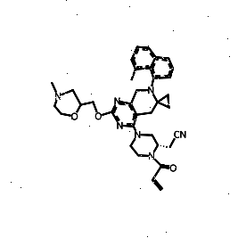 C=CC(=O)N1CCN(c2nc(OCC3CN(C)CCO3)nc3c2CC2(CC2)N(c2cccc4cccc(C)c24)C3)C[C@@H]1CC#N